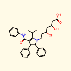 CC(C)c1c(C(=O)Nc2ccccc2)c(-c2ccccc2)c(-c2ccccc2)n1CCC(O)CC(O)CC(=O)O